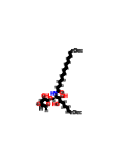 CCCCCCCCCCCCCCCCCCCCCCCC(=O)N[C@@H](CO[C@@H]1O[C@@H](C)[C@H]2OC2[C@@H]1O)[C@H](O)[C@H](O)CCCCCCCCCCCCCC